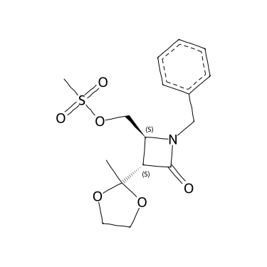 CC1([C@H]2C(=O)N(Cc3ccccc3)[C@@H]2COS(C)(=O)=O)OCCO1